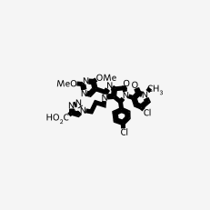 COc1ncc(-c2nc3c(n2CCCn2cc(C(=O)O)nn2)C(c2ccc(Cl)cc2)N(c2cc(Cl)cn(C)c2=O)C3=O)c(OC)n1